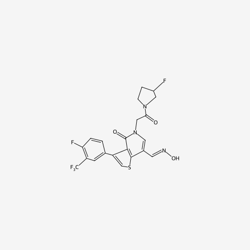 O=C(Cn1cc(C=NO)c2scc(-c3ccc(F)c(C(F)(F)F)c3)c2c1=O)N1CCC(F)C1